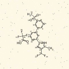 Cc1[nH]c(-c2cc(-c3cncc(S(C)(=O)=O)c3)ccn2)nc1C(F)F.O=C(O)C(F)(F)F